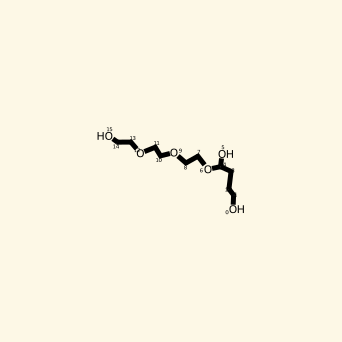 OCCCC(O)OCCOCCOCCO